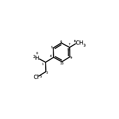 [2H]C(CCl)c1ccc(C)cc1